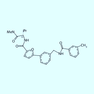 CNC(=O)[C@@H](NC(=O)c1ccc(-c2cccc(CNC(=O)c3cccc(C)c3)c2)o1)C(C)C